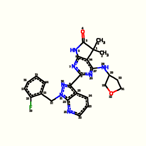 CC1(C)C(=O)Nc2nc(-c3nn(Cc4ccccc4F)c4ncccc34)nc(NC3CCOC3)c21